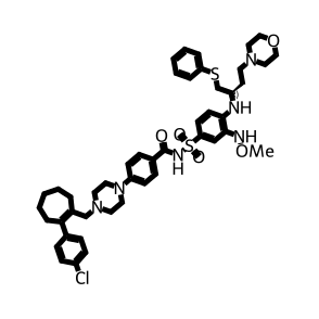 CONc1cc(S(=O)(=O)NC(=O)c2ccc(N3CCN(CC4=C(c5ccc(Cl)cc5)CCCCC4)CC3)cc2)ccc1N[C@H](CCN1CCOCC1)CSc1ccccc1